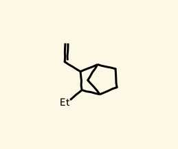 C=CC1C2CCC(C2)C1CC